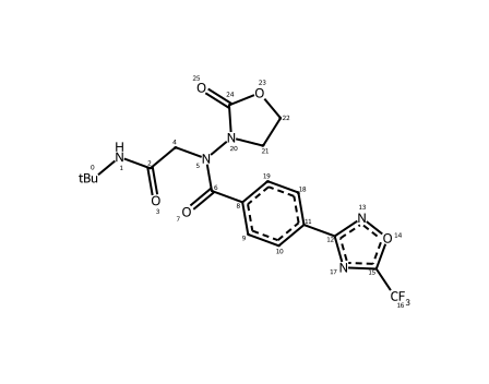 CC(C)(C)NC(=O)CN(C(=O)c1ccc(-c2noc(C(F)(F)F)n2)cc1)N1CCOC1=O